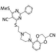 CSc1nc(-c2ccccc2)nc(SCCN2CCN(c3cccc4c3OCC(C#N)O4)CC2)c1C#N